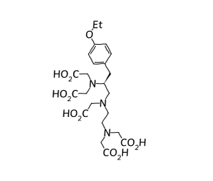 CCOc1ccc(C[C@@H](CN(CCN(CC(=O)O)CC(=O)O)CC(=O)O)N(CC(=O)O)CC(=O)O)cc1